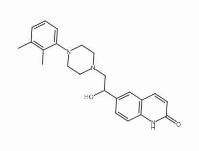 Cc1cccc(N2CCN(CC(O)c3ccc4[nH]c(=O)ccc4c3)CC2)c1C